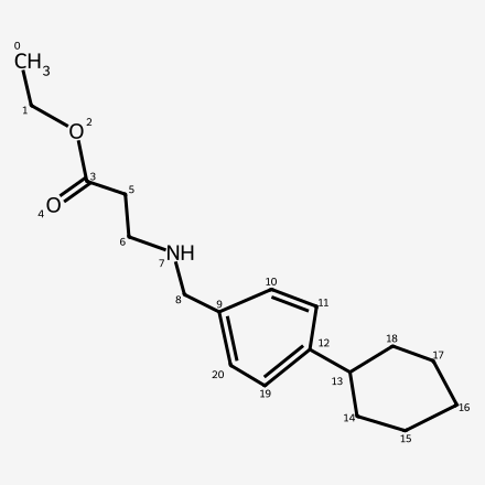 CCOC(=O)CCNCc1ccc(C2CCCCC2)cc1